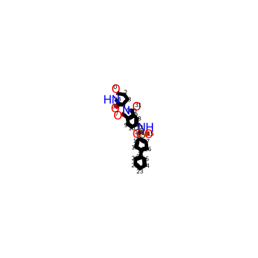 O=C1CCC(N2C(=O)c3ccc(NS(=O)(=O)c4ccc(-c5ccccc5)cc4)cc3C2=O)C(=O)N1